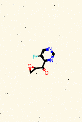 O=C(c1ncncc1F)C1CO1